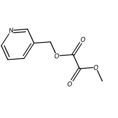 COC(=O)C(=O)OCc1cccnc1